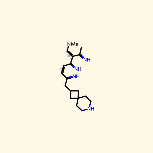 CN/C=C(\C(C)=N)C(=N)/C=C\C(=N)CC1CC2(CCNCC2)C1